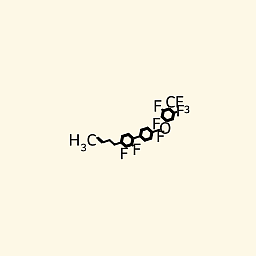 C/C=C/CCc1ccc(-c2ccc(C(F)(F)Oc3cc(F)c(C(F)(F)F)c(F)c3)cc2)c(F)c1F